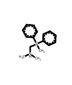 C[SiH](C)C[Si](C)(c1ccccc1)c1ccccc1